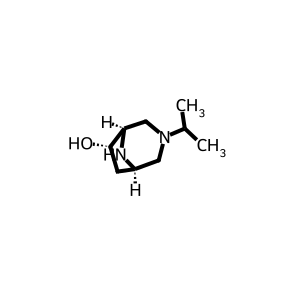 CC(C)N1C[C@H]2C[C@H](O)[C@@H](C1)N2